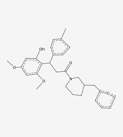 COc1cc(O)c(C(CC(=O)N2CCCC(Cc3ccccc3)C2)c2ccc(C)cc2)c(OC)c1